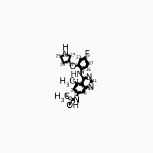 Cc1cc(/N=S(\C)O)cc2ncnc(Nc3ccc(F)cc3O[C@@H]3CCNC3)c12